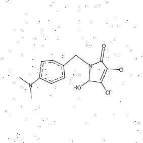 CN(C)c1ccc(CN2C(=O)C(Cl)=C(Cl)C2O)cc1